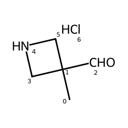 CC1(C=O)CNC1.Cl